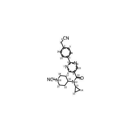 N#CCc1ccc(-c2ncc(C(=O)N(C3CC3)C3CCN(C#N)CC3)cn2)cc1